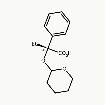 CC[C@](OC1CCCCO1)(C(=O)O)c1ccccc1